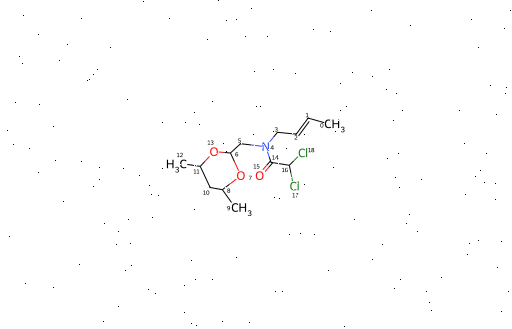 CC=CCN(CC1OC(C)CC(C)O1)C(=O)C(Cl)Cl